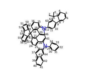 CC1(C)c2ccccc2-c2ccc(-n3c4cccc5c4c4c6c(cccc6c(N(c6ccccc6)c6ccc7ccccc7c6)cc43)C53c4ccccc4-c4ccccc43)cc21